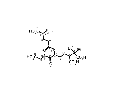 CCC(CC)(C(=O)O)C(SC[C@H](NC(=O)CC[C@H](N)C(=O)O)C(=O)NCC(=O)O)C(=O)O